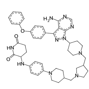 Nc1ncnc2c1c(-c1ccc(Oc3ccccc3)cc1)nn2C1CCN(CC2CCN(CC3CCN(c4ccc(NC5CCC(=O)NC5=O)cc4)CC3)C2)CC1